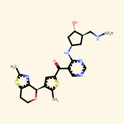 Cc1nc2c(s1)CCO[C@@H]2c1cc(C(=O)c2cncnc2N[C@H]2C[C@H](O)[C@@H]([CH]NS(=O)(=O)O)C2)sc1C